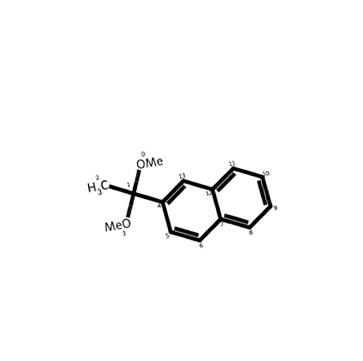 COC(C)(OC)c1ccc2ccccc2c1